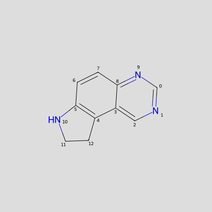 c1ncc2c3c(ccc2n1)NCC3